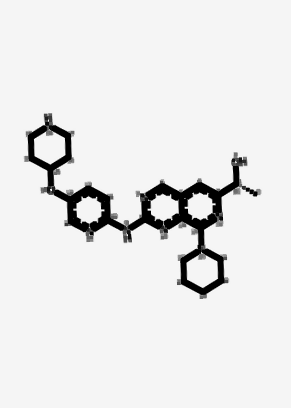 C[C@@H](O)c1cc2cnc(Nc3ccc(OC4CCNCC4)cn3)nc2c(N2CCCCC2)n1